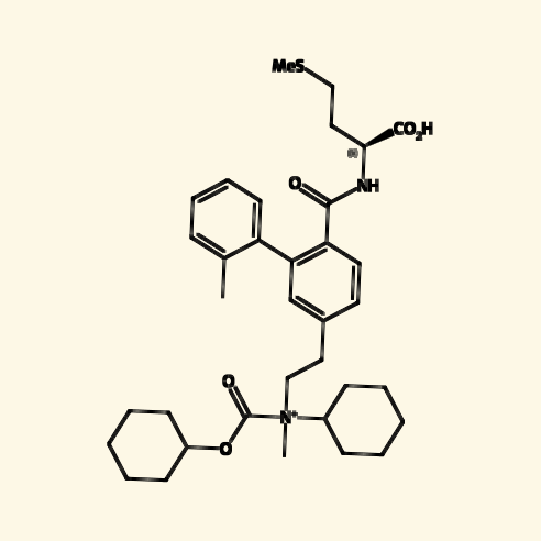 CSCC[C@H](NC(=O)c1ccc(CC[N+](C)(C(=O)OC2CCCCC2)C2CCCCC2)cc1-c1ccccc1C)C(=O)O